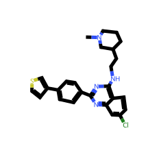 CN1CCCC(CCNc2nc(-c3ccc(-c4ccsc4)cc3)nc3cc(Cl)ccc23)C1